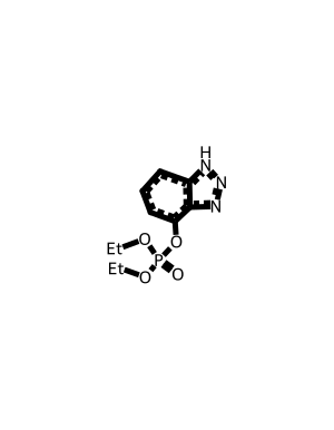 CCOP(=O)(OCC)Oc1cccc2[nH]nnc12